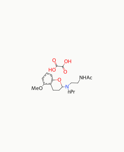 CCCN(CCNC(C)=O)C1CCc2c(OC)cccc2O1.O=C(O)C(=O)O